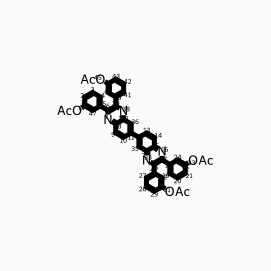 CC(=O)Oc1cccc(-c2nc3ccc(-c4ccc5nc(-c6cccc(OC(C)=O)c6)c(-c6cccc(OC(C)=O)c6)nc5c4)cc3nc2-c2cccc(OC(C)=O)c2)c1